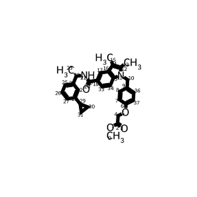 COC(=O)COc1ccc(Cn2c(C)c(C)c3cc(C(=O)N[C@@H](C)c4cccc(C5CC5)c4)ccc32)cc1